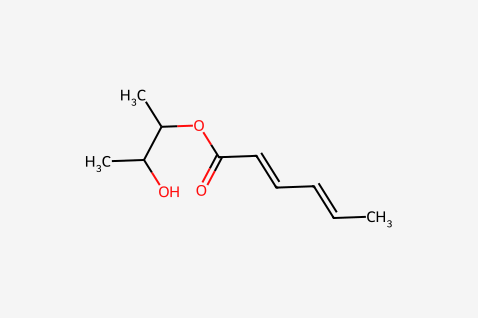 C/C=C/C=C/C(=O)OC(C)C(C)O